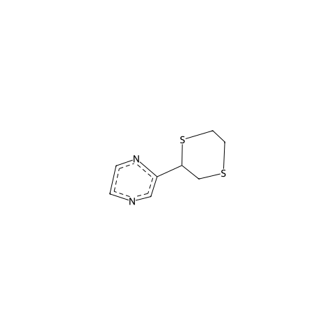 c1cnc(C2CSCCS2)cn1